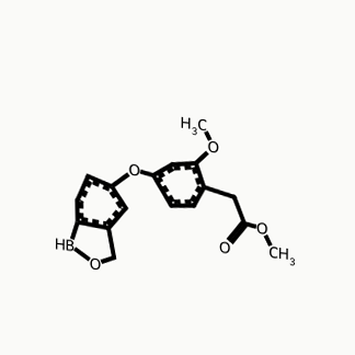 COC(=O)Cc1ccc(Oc2ccc3c(c2)COB3)cc1OC